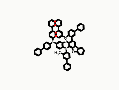 Cc1cc(-c2ccccc2)ccc1N1c2ccc(N(c3ccc(-c4ccccc4)cc3)c3ccc(-c4ccccc4)cc3)cc2B2c3c(cc4c(oc5ccccc54)c31)-c1cc(-c3ccccc3)ccc1N2c1cccc(-c2ccccc2)c1